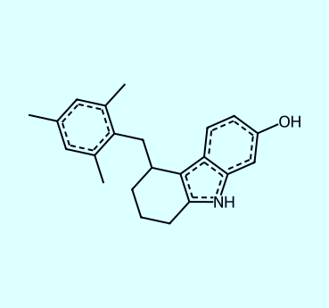 Cc1cc(C)c(CC2CCCc3[nH]c4cc(O)ccc4c32)c(C)c1